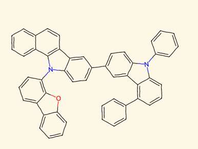 c1ccc(-c2cccc3c2c2cc(-c4ccc5c(c4)c4ccc6ccccc6c4n5-c4cccc5c4oc4ccccc45)ccc2n3-c2ccccc2)cc1